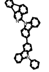 c1ccc(-n2c3ccccc3c3cc(-c4ccc5c(c4)c4ccccc4n5-c4ncc5c6c(cccc46)-c4ccccc4-5)ccc32)cc1